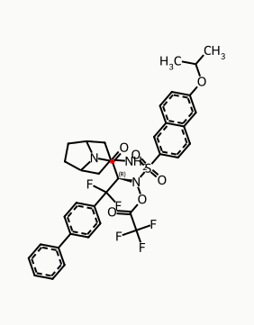 CC(C)Oc1ccc2cc(S(=O)(=O)N(OC(=O)C(F)(F)F)[C@H](C(=O)N3C4CCC3CC(N)C4)C(F)(F)c3ccc(-c4ccccc4)cc3)ccc2c1